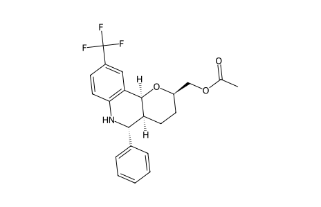 CC(=O)OC[C@H]1CC[C@@H]2[C@H](O1)c1cc(C(F)(F)F)ccc1N[C@H]2c1ccccc1